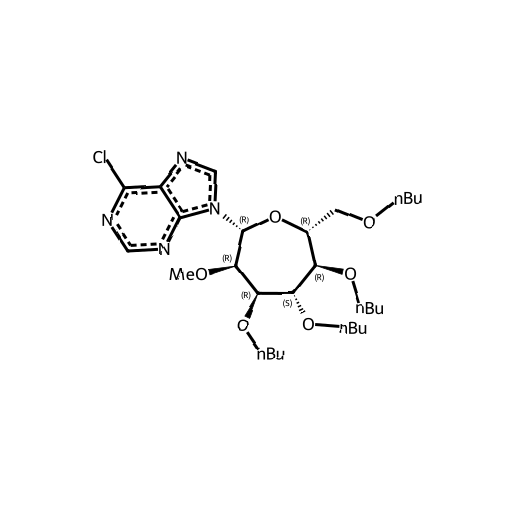 CCCCOC[C@H]1O[C@@H](n2cnc3c(Cl)ncnc32)[C@H](OC)[C@H](OCCCC)[C@@H](OCCCC)[C@@H]1OCCCC